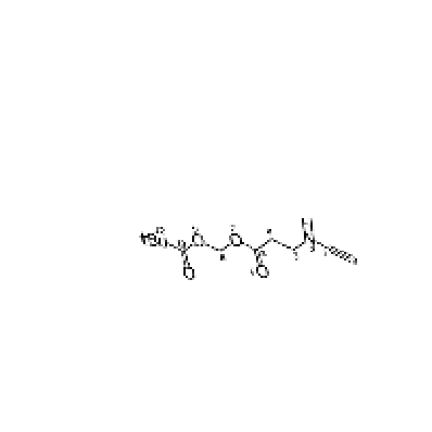 C#CNCCC(=O)OCOC(=O)C(C)(C)C